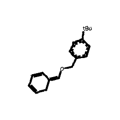 CC(C)(C)c1ccc(COC=C2C=[C]C=CC2)cc1